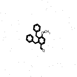 COc1ccc(C=O)c(Cc2ccccc2)c1Cc1ccccc1